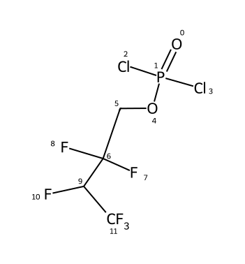 O=P(Cl)(Cl)OCC(F)(F)C(F)C(F)(F)F